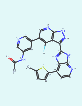 CCC(=O)Nc1cncc(-c2cnc3[nH]nc(-c4nc5c(-c6ccc(C(C)=O)s6)ccnc5[nH]4)c3c2F)c1